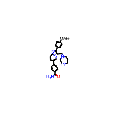 COc1ccc(-c2nc3ccc(-c4ccc(C(N)=O)cc4)cn3c2CN2CCCNCC2)cc1